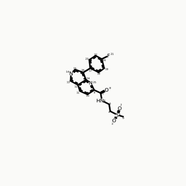 CS(=O)(=O)CCNC(=O)c1ccc2cncc(-c3ccc(F)cc3)c2n1